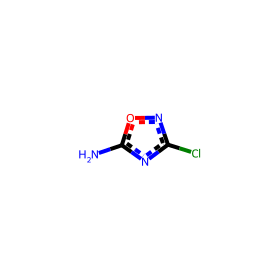 Nc1nc(Cl)no1